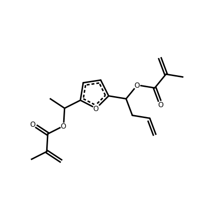 C=CCC(OC(=O)C(=C)C)c1ccc(C(C)OC(=O)C(=C)C)o1